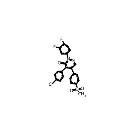 CS(=O)(=O)c1ccc(-c2cnn(-c3ccc(F)c(F)c3)c(=O)c2-c2ccc(Cl)cc2)cc1